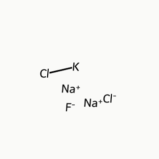 [Cl-].[Cl][K].[F-].[Na+].[Na+]